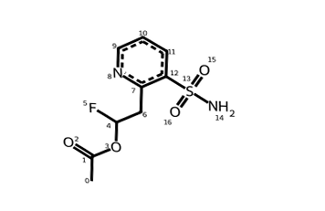 CC(=O)OC(F)Cc1ncccc1S(N)(=O)=O